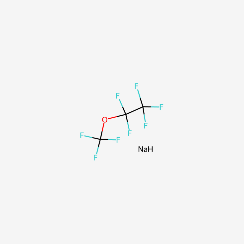 FC(F)(F)OC(F)(F)C(F)(F)F.[NaH]